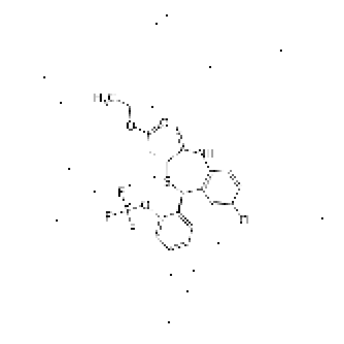 CCOC(=O)C[C@H]1S[C@H](c2ccccc2OC(F)(F)F)c2cc(Cl)ccc2NC1=S